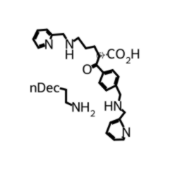 CCCCCCCCCCCCN.O=C(O)[C@@H](CCCNCc1ccccn1)C(=O)c1ccc(CNCc2ccccn2)cc1